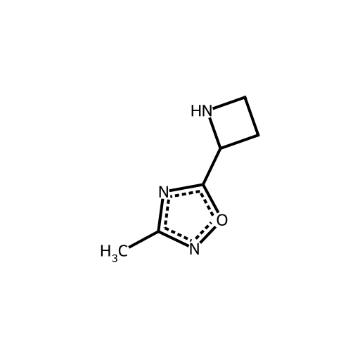 Cc1noc(C2CCN2)n1